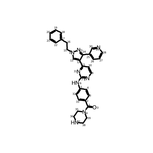 O=C(c1ccc(Nc2nccc(-c3cn(CCc4ccccc4)nc3-c3cccnc3)n2)cc1)N1CCNCC1